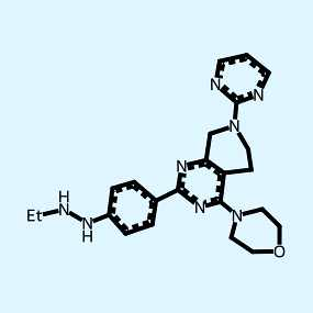 CCNNc1ccc(-c2nc3c(c(N4CCOCC4)n2)CCN(c2ncccn2)C3)cc1